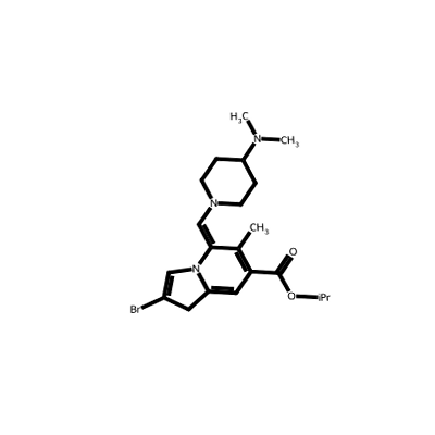 CC1=C(C(=O)OC(C)C)C=C2CC(Br)=CN2/C1=C/N1CCC(N(C)C)CC1